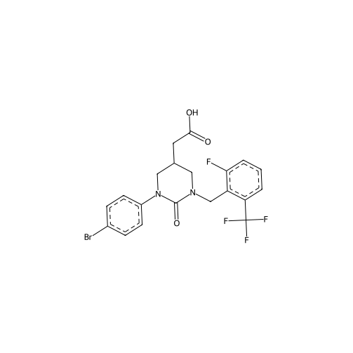 O=C(O)CC1CN(Cc2c(F)cccc2C(F)(F)F)C(=O)N(c2ccc(Br)cc2)C1